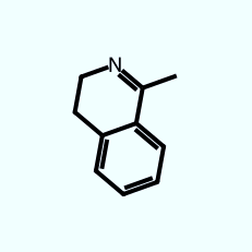 CC1=NCCc2ccccc21